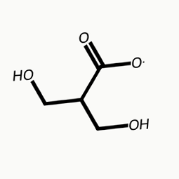 [O]C(=O)C(CO)CO